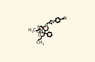 CCCC(CC(Cn1ccnc1CC)(c1ccccc1)C1CCN(CC2CN(c3ccc(C#N)cc3)C2)CC1)OC=O